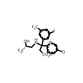 O=C(O)CC(NC[C@@H](O)C(F)(F)F)(c1cc(F)cc(C(F)(F)F)c1)c1ccc(Cl)cn1